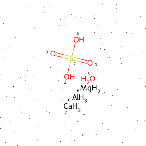 O.O=S(=O)(O)O.[AlH3].[CaH2].[MgH2]